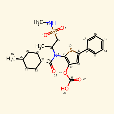 CNS(=O)(=O)CC(C)N(c1sc(-c2ccccc2)cc1OC(=O)O)C(=O)[C@H]1CC[C@H](C)CC1